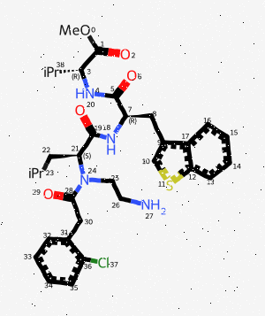 COC(=O)[C@H](NC(=O)[C@@H](Cc1csc2ccccc12)NC(=O)[C@H](CC(C)C)N(CCN)C(=O)Cc1ccccc1Cl)C(C)C